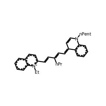 CCCCCN1C=C\C(=C/C=C(/C=C/c2ccc3ccccc3[n+]2CC)CCC)c2ccccc21